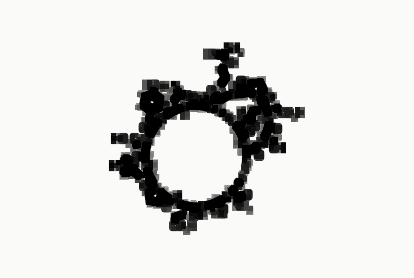 CC[C@H](C)C1NC(=O)[C@H](CCC(=O)O)NC(=O)[C@@H]2CCCN2C(=O)[C@H](Cc2c[nH]cn2)NC(=O)[C@H](CC(=O)O)NC(=O)C(Cc2ccc(O)cc2)NC(=O)[C@H](CC(N)=O)NC(=O)[C@@H]2CSSC[C@H](NC(=O)CN)C(=O)N[C@@H](CSSC[C@@H](C(N)=O)NC1=O)C(=O)N[C@@H](CO)C(=O)N[C@@H](CC(=O)O)C(=O)N1CCC[C@H]1C(=O)N[C@@H](CCCNC(=N)N)C(=O)N2